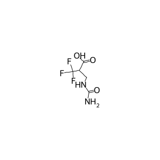 NC(=O)NCC(C(=O)O)C(F)(F)F